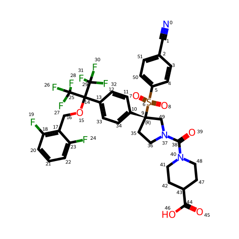 N#Cc1ccc(S(=O)(=O)[C@@]2(c3ccc(C(OCc4c(F)cccc4F)(C(F)(F)F)C(F)(F)F)cc3)CCN(C(=O)N3CCC(C(=O)O)CC3)C2)cc1